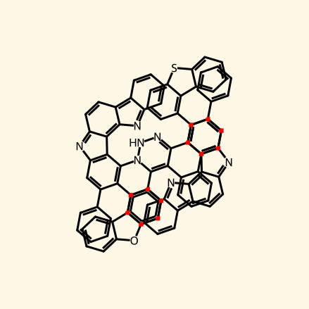 c1ccc(C2=C(c3ccccc3-c3ccccc3)C(c3c4c(cc(-c5ccccc5)c3-c3cccc5sc6ccccc6c35)N=c3ccc5c(c3-4)N=c3ccccc3=5)=NNN2c2c3c(cc(-c4ccccc4)c2-c2cccc4oc5ccccc5c24)N=c2ccc4c(c2-3)N=c2ccccc2=4)cc1